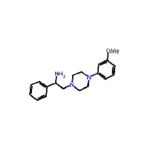 COc1cccc(N2CCN(CC(N)c3ccccc3)CC2)c1